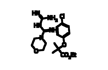 CCOC(=O)C(C)(C)Oc1ccc(Cl)cc1.N=C(N)NC(=N)N1CCOCC1